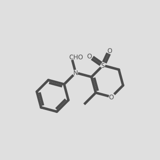 CC1=C(N(C=O)c2ccccc2)S(=O)(=O)CCO1